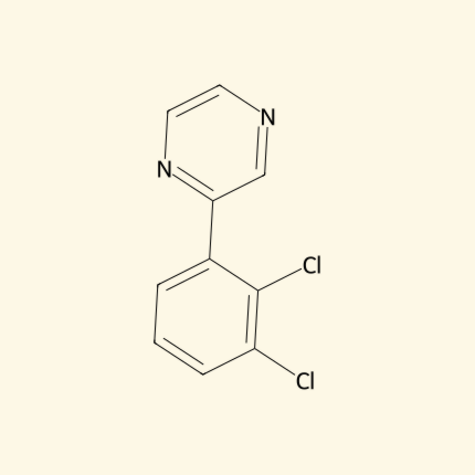 Clc1cccc(-c2cnccn2)c1Cl